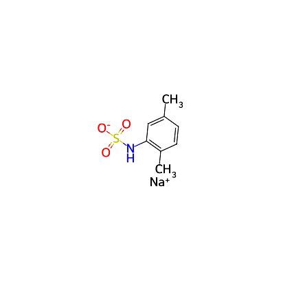 Cc1ccc(C)c(NS(=O)(=O)[O-])c1.[Na+]